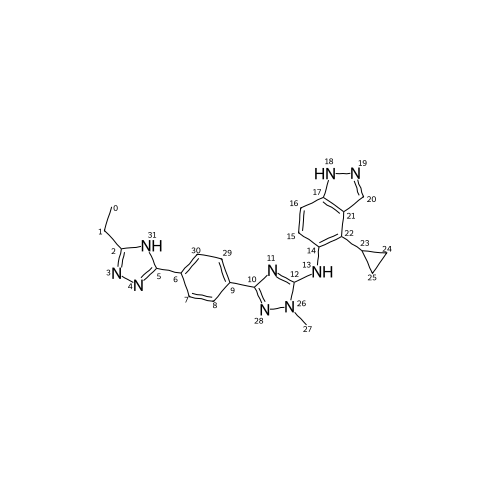 CCc1nnc(-c2ccc(-c3nc(Nc4ccc5[nH]ncc5c4C4CC4)n(C)n3)cc2)[nH]1